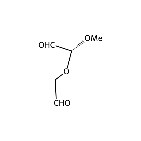 CO[C@@H](C=O)OCC=O